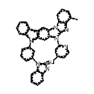 Cc1cccc2c1nc1n(-c3cc(C(C)(C)C)ccn3)c3cc4c(cc3n21)c1ccccc1n4-c1cccc(-n2cnc3ccccc32)c1